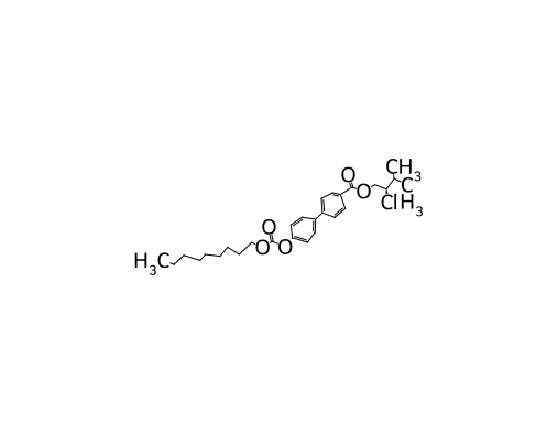 CCCCCCCCCOC(=O)Oc1ccc(-c2ccc(C(=O)OC[C@H](Cl)C(C)C)cc2)cc1